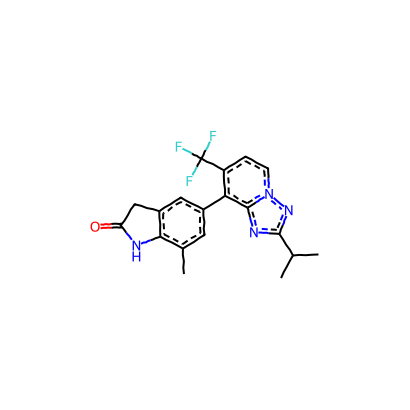 Cc1cc(-c2c(C(F)(F)F)ccn3nc(C(C)C)nc23)cc2c1NC(=O)C2